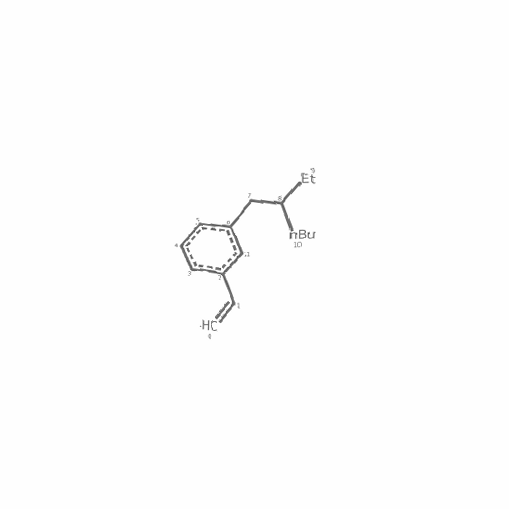 [CH]=Cc1cc[c]c(CC(CC)CCCC)c1